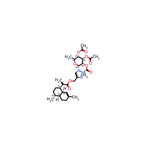 C=C(C(=O)OCc1cn([C@@H]2O[C@@H](C)[C@H](OC(C)=O)[C@@H](OC(C)=O)[C@H]2OC(C)=O)nn1)[C@@H]1CC[C@@H](C)[C@@H]2CCC(C)=C[C@@H]21